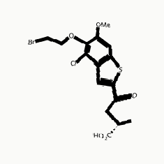 COc1cc2sc(C(=O)C[C@H](C)C(=O)O)cc2c(Cl)c1OCCBr